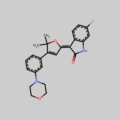 CC1(C)O/C(=C2/C(=O)Nc3cc(F)ccc32)C=C1c1cccc(N2CCOCC2)c1